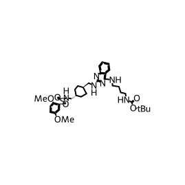 COc1ccc(OC)c(S(=O)(=O)NC[C@H]2CC[C@H](CNc3nc(NCCCCNC(=O)OC(C)(C)C)c4ccccc4n3)CC2)c1